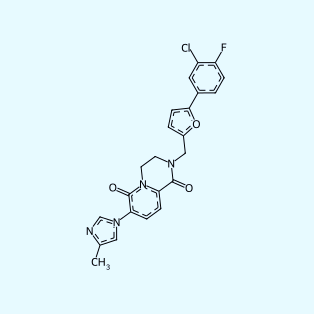 Cc1cn(-c2ccc3n(c2=O)CCN(Cc2ccc(-c4ccc(F)c(Cl)c4)o2)C3=O)cn1